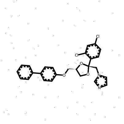 Clc1ccc([C@]2(Cn3ccnc3)OC[C@H](COc3ccc(-c4ccccc4)cc3)O2)c(Cl)c1